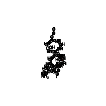 CCCOCCOCCN1CCNC(=O)c2cccc(c2O)C(=O)NCCN(CCN2CCNC(=O)c3cccc(c3O)C(=O)NCCN(CCOCCOCCOC)CCNC(=O)c3cccc(c3O)C(=O)NC(CCCCNC(=S)Nc3ccc(NC(=S)NCCCOP(=O)(O)OC[C@H]4O[C@@H](n5cnc6c(N)ncnc65)CC4OP(=O)(O)OC)cc3)C2)CCNC(=O)c2cccc(c2O)C(=O)NCC1